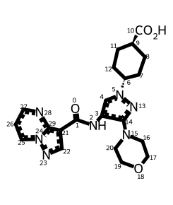 O=C(Nc1cn([C@H]2CC[C@H](C(=O)O)CC2)nc1N1CCOCC1)c1cnn2cccnc12